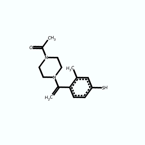 C=C(c1ccc(S)cc1C)N1CCN(C(C)=O)CC1